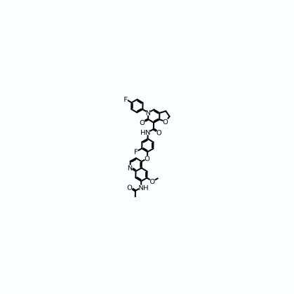 COc1cc2c(Oc3ccc(NC(=O)c4c5c(cn(-c6ccc(F)cc6)c4=O)CCO5)cc3F)ccnc2cc1NC(C)=O